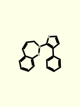 C1=Cc2ccccc2SN(c2sccc2-c2ccccc2)C1